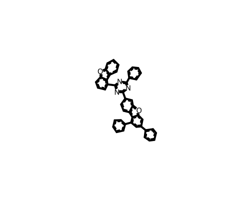 c1ccc(-c2cc(-c3ccccc3)c3c(c2)oc2cc(-c4nc(-c5ccccc5)nc(-c5cccc6oc7ccccc7c56)n4)ccc23)cc1